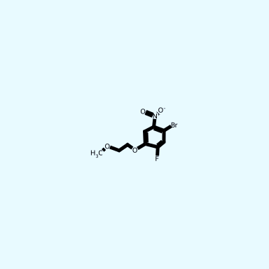 COCCOc1cc([N+](=O)[O-])c(Br)cc1F